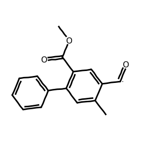 COC(=O)c1cc([C]=O)c(C)cc1-c1ccccc1